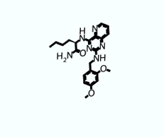 CCCC[C@@H](Nc1nc(NCc2ccc(OC)cc2OC)nc2cccnc12)C(N)=O